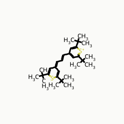 CC(C)(C)C1=CC(=C/C=C/c2cc(C(C)(C)C)[s+]c(C(C)(C)C)c2)C=C(C(C)(C)C)S1